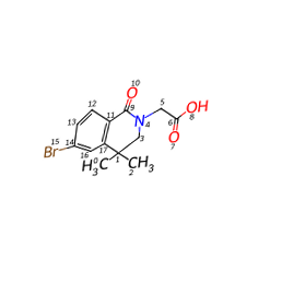 CC1(C)CN(CC(=O)O)C(=O)c2ccc(Br)cc21